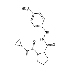 O=C(O)c1ccc(NNC(=O)C2CCCN2C(=O)NC2CC2)cc1